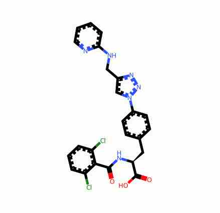 O=C(N[C@@H](Cc1ccc(-n2cc(CNc3ccccn3)nn2)cc1)C(=O)O)c1c(Cl)cccc1Cl